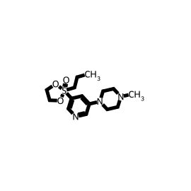 CCCS1(=O)(c2cncc(N3CCN(C)CC3)c2)OCCO1